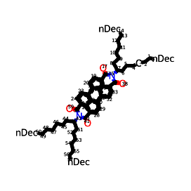 CCCCCCCCCCCCCCCCC(CCCCCCCCCCCCCCCC)N1C(=O)c2ccc3c4ccc5c6c(ccc(c7ccc(c2c37)C1=O)c64)C(=O)N(C(CCCCCCCCCCCCCCCC)CCCCCCCCCCCCCCCC)C5=O